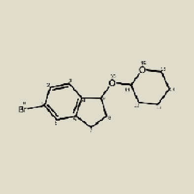 Brc1ccc2c(c1)CCC2OC1CCCCO1